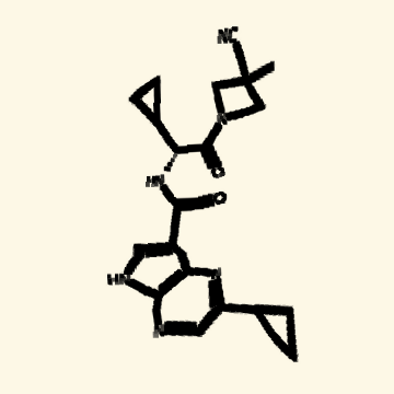 CC1(C#N)CN(C(=O)[C@H](NC(=O)c2c[nH]c3ncc(C4CC4)nc23)C2CC2)C1